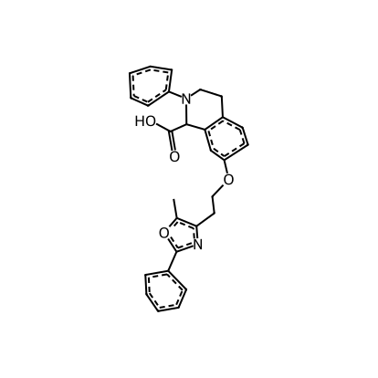 Cc1oc(-c2ccccc2)nc1CCOc1ccc2c(c1)C(C(=O)O)N(c1ccccc1)CC2